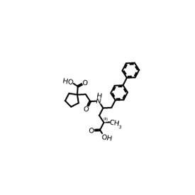 C[C@H](CC(Cc1ccc(-c2ccccc2)cc1)NC(=O)CC1(C(=O)O)CCCC1)C(=O)O